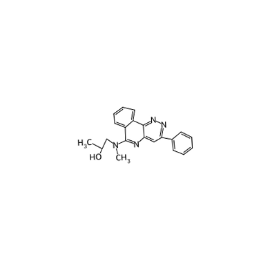 CC(O)CN(C)c1nc2cc(-c3ccccc3)nnc2c2ccccc12